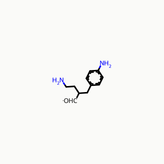 NCCC([C]=O)Cc1ccc(N)cc1